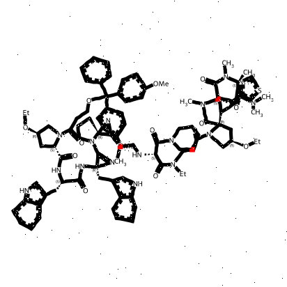 CCO[C@@H]1C[C@@H](C(=O)N[C@@H](Cc2c[nH]c3ccccc23)C(=O)N[C@]2(Cc3c[nH]c4ccccc34)N=C2N2CCC[C@]23N=C3N(C)CN[C@@H](C(=O)N(CC)CCC(=O)N2C[C@H](OCC)C[C@]2(C(=O)N(C)[C@@H](Cc2cscn2)C(=O)N(C)[C@@H](C)C(=O)N(C)C)C2CC2)C(=O)N2CCCCC2)N(C(=O)CCOC(c2ccccc2)(c2ccc(OC)cc2)c2ccc(OC)cc2)C1